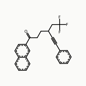 O=C(CCC(C#Cc1ccccc1)CC(F)(F)F)c1ccc2ccccc2c1